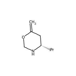 C=C1C[C@H](C(C)C)NCO1